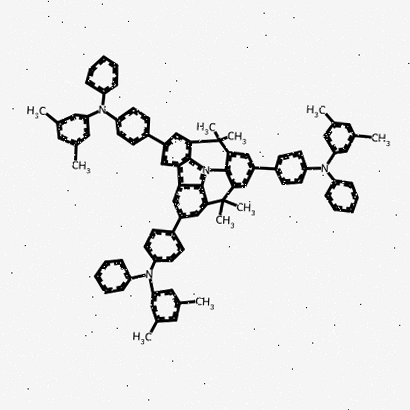 Cc1cc(C)cc(N(c2ccccc2)c2ccc(-c3cc4c5c(c3)C(C)(C)c3cc(-c6ccc(N(c7ccccc7)c7cc(C)cc(C)c7)cc6)cc6c7cc(-c8ccc(N(c9ccccc9)c9cc(C)cc(C)c9)cc8)cc(c7n-5c36)C4(C)C)cc2)c1